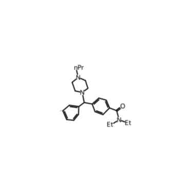 CCCN1CCN(C(c2c[c]ccc2)c2ccc(C(=O)N(CC)CC)cc2)CC1